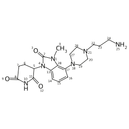 Cn1c(=O)n(C2CCC(=O)NC2=O)c2cccc(N3CCN(CCCN)CC3)c21